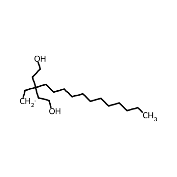 [CH2]CC(CCO)(CCO)CCCCCCCCCCCC